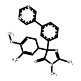 COC1=CCC(C2(c3cccc(-c4cncnc4)c3)N=C(N)N(C)C2=O)C=C1C